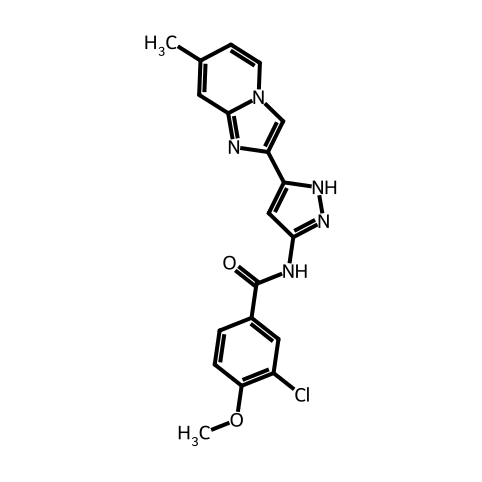 COc1ccc(C(=O)Nc2cc(-c3cn4ccc(C)cc4n3)[nH]n2)cc1Cl